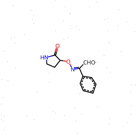 O=[C]C(=NOC1CCNC1=O)c1ccccc1